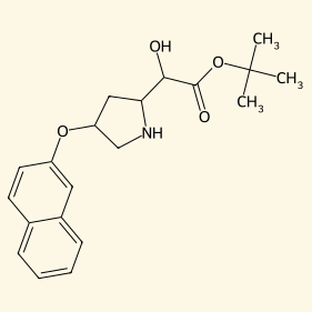 CC(C)(C)OC(=O)C(O)C1CC(Oc2ccc3ccccc3c2)CN1